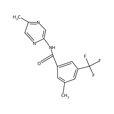 Cc1cc(C(=O)Nc2cnc(C)cn2)cc(C(F)(F)F)c1